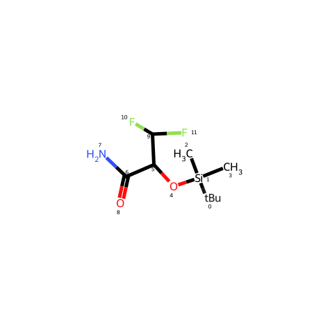 CC(C)(C)[Si](C)(C)OC(C(N)=O)C(F)F